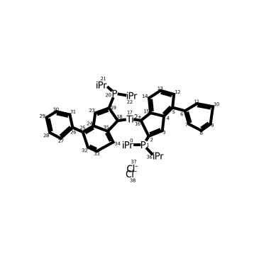 CC(C)P(C1=Cc2c(-c3ccccc3)cccc2[CH]1[Ti+2][CH]1C(P(C(C)C)C(C)C)=Cc2c(-c3ccccc3)cccc21)C(C)C.[Cl-].[Cl-]